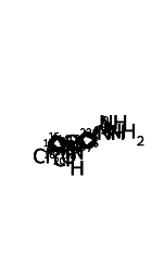 N=C(N)NCc1ccc(NS(=O)(=O)c2cccc(Cl)c2Cl)cc1